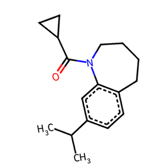 CC(C)c1ccc2c(c1)N(C(=O)C1CC1)CCCC2